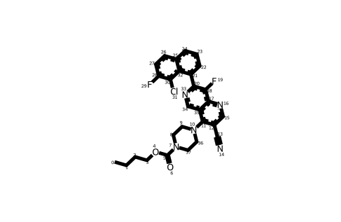 CCCCOC(=O)N1CCN(c2c(C#N)cnc3c(F)c(-c4cccc5ccc(F)c(Cl)c45)ncc23)CC1